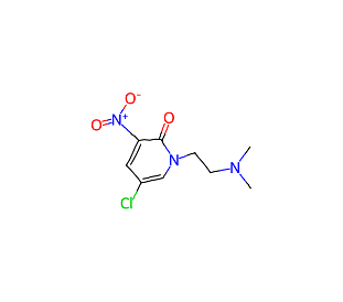 CN(C)CCn1cc(Cl)cc([N+](=O)[O-])c1=O